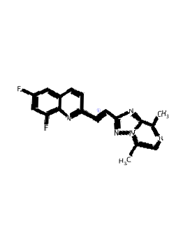 Cc1ncc(C)n2nc(/C=C/c3ccc4cc(F)cc(F)c4n3)nc12